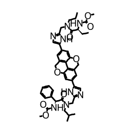 CCCN(Cc1ncc(-c2cc3c4c(c2)OCc2cc(-c5cnc(CN(CC(C)C)C(=O)[C@H](NC(=O)OC)c6ccccc6)[nH]5)cc(c2-4)OC3)[nH]1)C(=O)[C@H](CC)NC(=O)OC